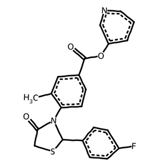 Cc1cc(C(=O)Oc2cccnc2)ccc1N1C(=O)CSC1c1ccc(F)cc1